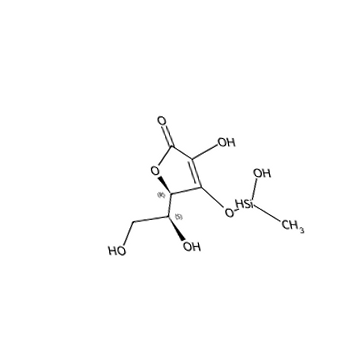 C[SiH](O)OC1=C(O)C(=O)O[C@@H]1[C@@H](O)CO